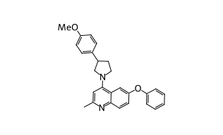 COc1ccc(C2CCN(c3cc(C)nc4ccc(Oc5ccccc5)cc34)C2)cc1